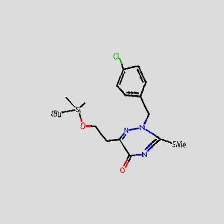 CSc1nc(=O)c(CCO[Si](C)(C)C(C)(C)C)nn1Cc1ccc(Cl)cc1